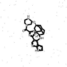 O=C(c1noc(-c2cnc3[nH]ccc3c2N[C@H]2C3CC4CC2C[C@@](O)(C4)C3)n1)N1CCNCC1